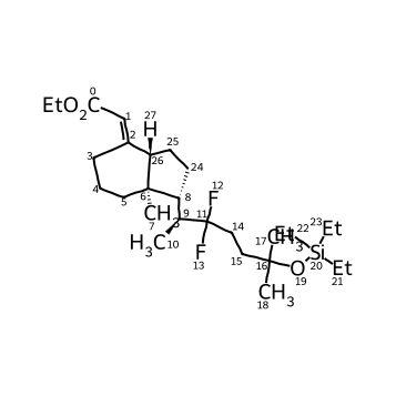 CCOC(=O)C=C1CCC[C@]2(C)[C@@H]([C@H](C)C(F)(F)CCC(C)(C)O[Si](CC)(CC)CC)CC[C@@H]12